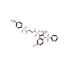 CCOC(=O)c1c(S(=O)(=O)NCCNS(=O)(=O)c2ccc([N+](=O)[O-])cc2)c2cc(Br)ccc2n1S(=O)(=O)c1ccccc1